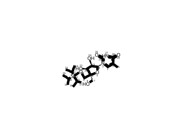 Cc1cn([C@@H]2O[C@@](CO)(CO[Si](C(C)C)(C(C)C)C(C)C)[C@@H](O)[C@H]2O)c(=O)[nH]c1=O